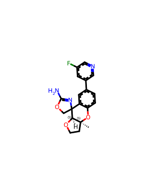 C[C@]12CCO[C@H]1C1(COC(N)=N1)c1cc(-c3cncc(F)c3)ccc1O2